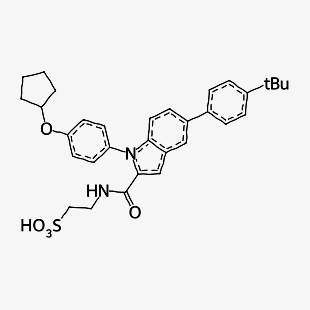 CC(C)(C)c1ccc(-c2ccc3c(c2)cc(C(=O)NCCS(=O)(=O)O)n3-c2ccc(OC3CCCC3)cc2)cc1